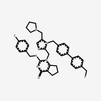 O=c1nc(SCc2ccc(F)cc2)n(Cc2ncc(CN3CCCC3)n2Cc2ccc(-c3ccc(CF)cc3)cc2)c2c1CCC2